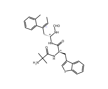 C/C=C(/C[C@H](NC=O)NC(=O)[C@@H](Cc1csc2ccccc12)NC(=O)C(C)(C)N)c1ccccc1C